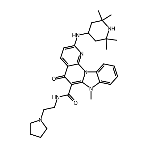 Cn1c2ccccc2n2c3nc(NC4CC(C)(C)NC(C)(C)C4)ccc3c(=O)c(C(=O)NCCN3CCCC3)c12